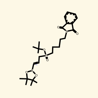 CC(C)(C)OP(=O)(C/C=C/B1OC(C)(C)C(C)(C)O1)CCCCCN1C(=O)c2ccccc2C1=O